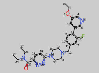 CCOc1cncc(-c2ccc(CN3CCN(c4ccc(C(=O)N(CC)CC)nn4)CC3)cc2F)c1